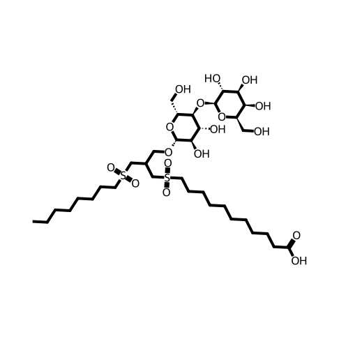 CCCCCCCCS(=O)(=O)CC(CO[C@@H]1O[C@H](CO)[C@@H](O[C@@H]2O[C@H](CO)[C@H](O)[C@H](O)[C@H]2O)[C@H](O)[C@H]1O)CS(=O)(=O)CCCCCCCCCCC(=O)O